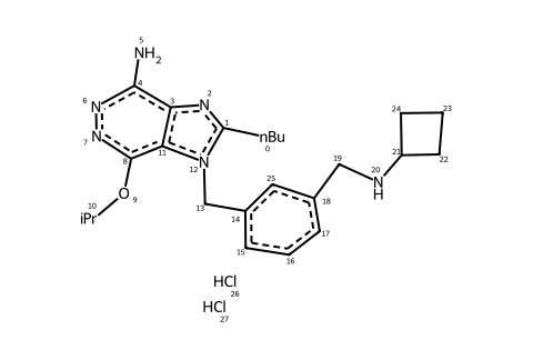 CCCCc1nc2c(N)nnc(OC(C)C)c2n1Cc1cccc(CNC2CCC2)c1.Cl.Cl